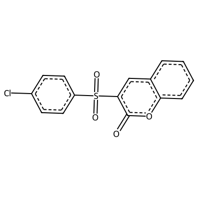 O=c1oc2ccccc2cc1S(=O)(=O)c1ccc(Cl)cc1